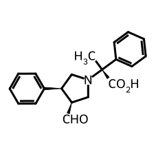 C[C@](C(=O)O)(c1ccccc1)N1C[C@@H](C=O)[C@@H](c2ccccc2)C1